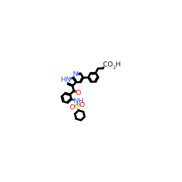 O=C(O)CCc1cccc(-c2cnc3[nH]cc(C(=O)c4ccccc4NS(=O)(=O)C4CCCCC4)c3c2)c1